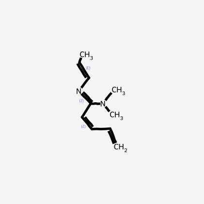 C=C\C=C/C(=N/C=C/C)N(C)C